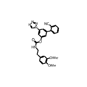 COc1ccc(CCNC(=O)Oc2cc(-c3ccccc3C#N)cc(-n3cnnn3)c2)cc1OC